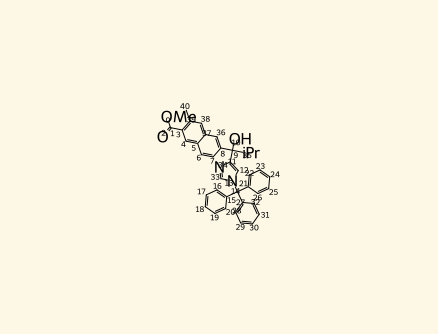 COC(=O)c1cc2ccc(C(O)(c3cn(C(c4ccccc4)(c4ccccc4)c4ccccc4)cn3)C(C)C)cc2cc1C